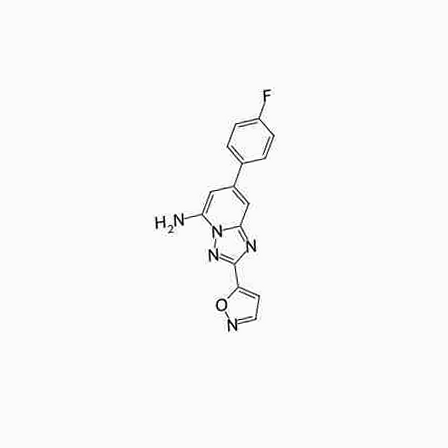 Nc1cc(-c2ccc(F)cc2)cc2nc(-c3ccno3)nn12